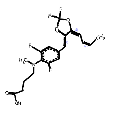 C\C=C/C=C1/OC(F)(F)O/C1=C\c1cc(F)c(N(C)CCCC(=O)O)c(F)c1